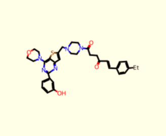 CCc1ccc(/C=C/C(=O)CCC(=O)N2CCN(Cc3cc4nc(-c5cccc(O)c5)nc(N5CCOCC5)c4s3)CC2)cc1